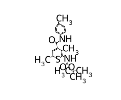 CC1=C(NC(=O)OC(C)(C)C)SC(C)C=C1C(=O)Nc1ccc(C)cc1